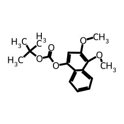 COc1cc(OC(=O)OC(C)(C)C)c2ccccc2c1OC